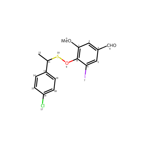 COc1cc(C=O)cc(I)c1OSC(C)c1ccc(Cl)cc1